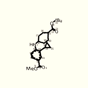 COC(=O)c1ccc(NC2CCC(C(=O)OC(C)(C)C)CC2)c(C2CC2)c1